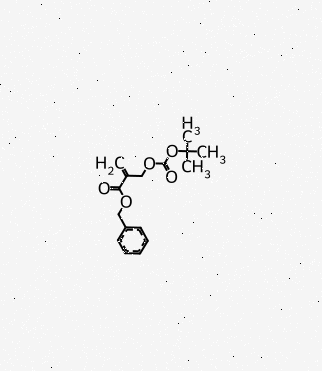 C=C(COC(=O)OC(C)(C)C)C(=O)OCc1ccccc1